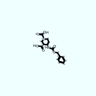 O=C(N[C@@H]1CCN(C(=O)O)C[C@@H]1C(=O)O)OCc1ccccc1